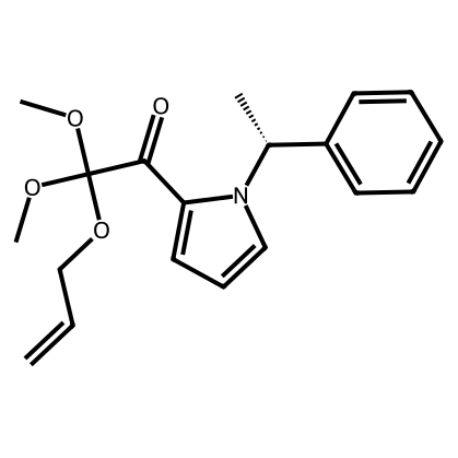 C=CCOC(OC)(OC)C(=O)c1cccn1[C@H](C)c1ccccc1